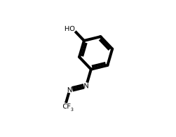 Oc1cccc(N=NC(F)(F)F)c1